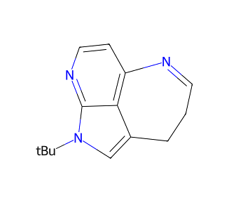 CC(C)(C)n1cc2c3c(ccnc31)N=CCC2